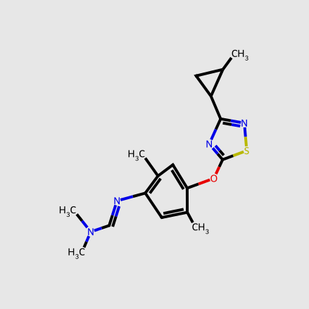 Cc1cc(Oc2nc(C3CC3C)ns2)c(C)cc1N=CN(C)C